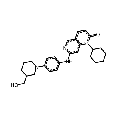 O=c1ccc2cnc(Nc3ccc(N4CCCC(CO)C4)cc3)cc2n1C1CCCCC1